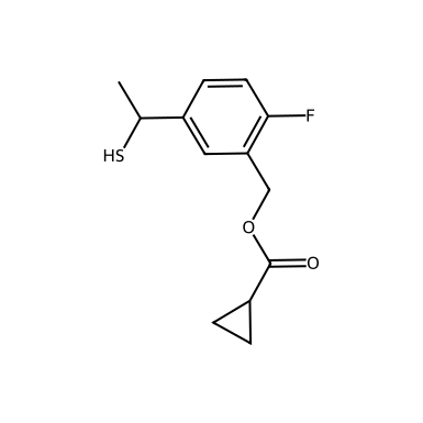 CC(S)c1ccc(F)c(COC(=O)C2CC2)c1